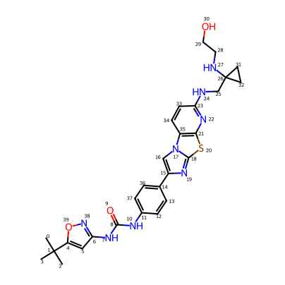 CC(C)(C)c1cc(NC(=O)Nc2ccc(-c3cn4c(n3)sc3nc(NCC5(NCCO)CC5)ccc34)cc2)no1